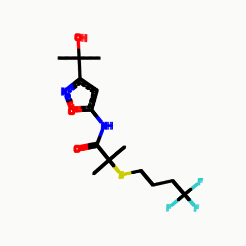 CC(C)(SCCCC(F)(F)F)C(=O)Nc1cc(C(C)(C)O)no1